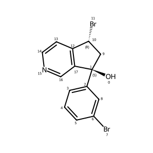 O[C@]1(c2cccc(Br)c2)C[C@@H](Br)c2ccncc21